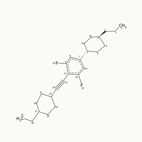 CCC[C@H]1CC[C@H](c2cc(F)c(C#CC3CCC(CC)CC3)c(F)c2)CC1